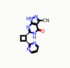 N#Cc1n[nH]c2nc([C@@H]3CC[C@@H]3c3ncccn3)[nH]c(=O)c12